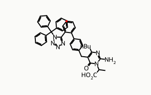 CCCCc1nc(N)n(C(C)C(=O)O)c(=O)c1Cc1ccc(-c2ccccc2-c2nnnn2C(c2ccccc2)(c2ccccc2)c2ccccc2)cc1